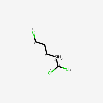 ClCCC[SiH2]C(Cl)Cl